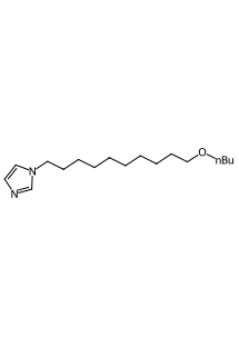 CCCCOCCCCCCCCCCn1ccnc1